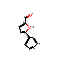 O=Cc1ccc(-c2cc[c]cc2)o1